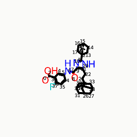 O=C(O)c1cc(NC(=O)c2nc(C34CCC(CC3)CC4)[nH]c2CCC23CC4CC(CC(C4)C2)C3)ccc1F